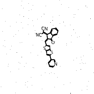 N#CC(C#N)=C1/C(=C/c2cc3sc(-c4cccnc4)cc3s2)C(=O)c2ccccc21